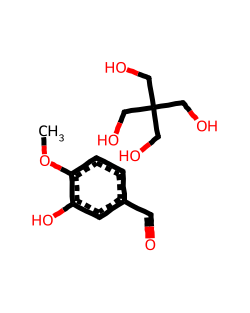 COc1ccc(C=O)cc1O.OCC(CO)(CO)CO